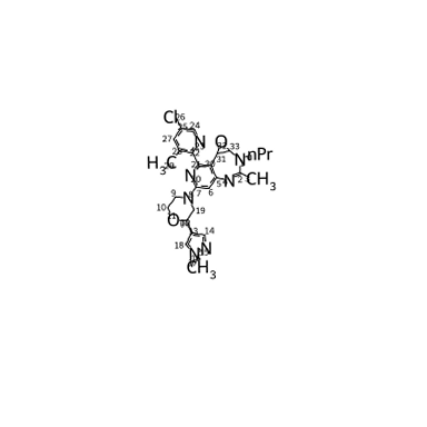 CCCN1C(C)=Nc2cc(N3CCO[C@H](c4cnn(C)c4)C3)nc(-c3ncc(Cl)cc3C)c2C2OC21